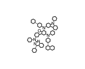 c1ccc(-c2ccc(N(c3ccc4c(c3)c3ccccc3n4-c3ccccc3)c3cc(N(c4ccccc4)c4ccc(-c5cccc6ccccc56)cc4)cc4c3oc3ccc(N(c5ccccc5)c5nc(-c6ccccc6)c6ccccc6n5)cc34)cc2)cc1